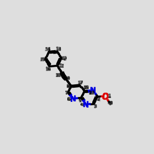 COc1cnc2ncc(C#Cc3ccccc3)cc2n1